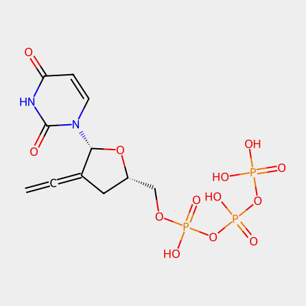 C=C=C1C[C@@H](COP(=O)(O)OP(=O)(O)OP(=O)(O)O)O[C@H]1n1ccc(=O)[nH]c1=O